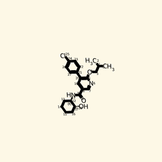 CC(C)COc1ncc(C(=O)N[C@@H]2CCCC[C@H]2O)cc1-c1ccc(Cl)cc1